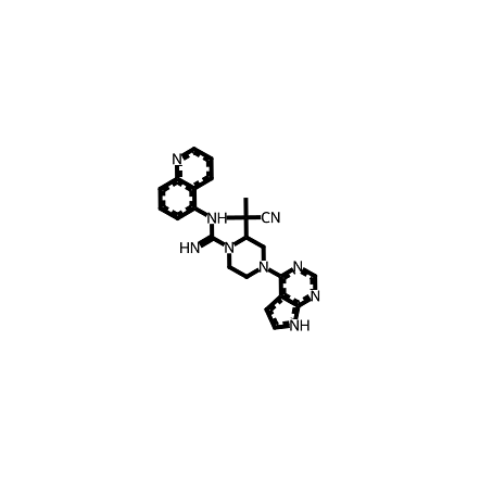 CC(C)(C#N)C1CN(c2ncnc3[nH]ccc23)CCN1C(=N)Nc1cccc2ncccc12